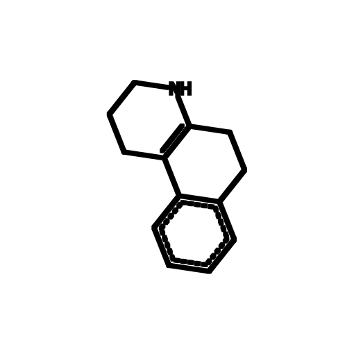 c1ccc2c(c1)CCC1=C2CCCN1